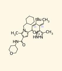 C=C(/C=C(\C(=C/C)c1c[nH]nc1C)C(C)(C)C)c1cc(C(=O)NC2CCOCC2)c(C)n1CC1CCCCC1